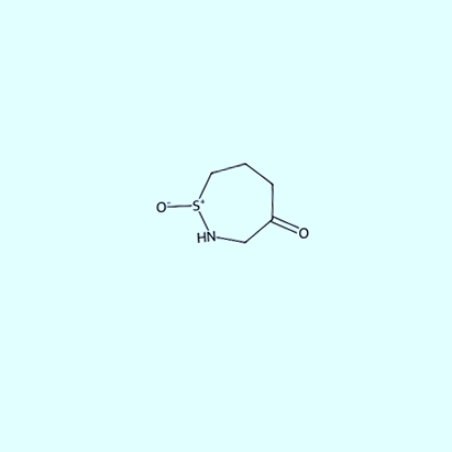 O=C1CCC[S+]([O-])NC1